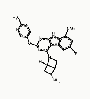 CNc1cc(F)cc2c1[nH]c1nc(Oc3cnc(C)nc3)nc(N3CC4[C@H](N)C[C@@H]43)c12